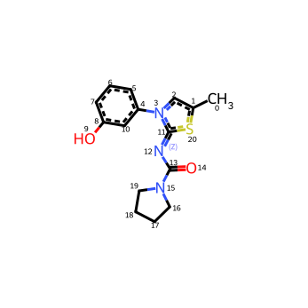 Cc1cn(-c2cccc(O)c2)/c(=N/C(=O)N2CCCC2)s1